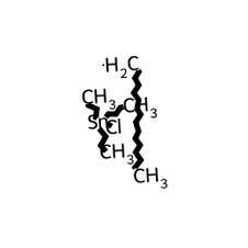 CCC[CH2][Sn]([Cl])([CH2]CCC)[CH2]CCC.[CH2]CCCCCCCCCCCCCCC